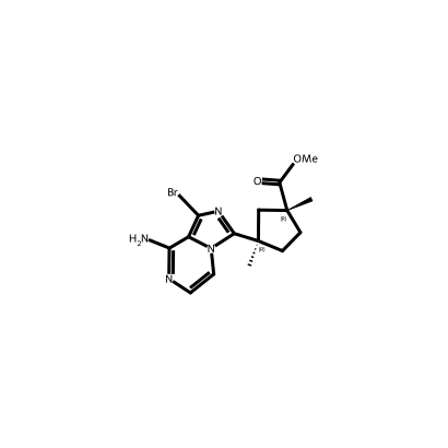 COC(=O)[C@]1(C)CC[C@@](C)(c2nc(Br)c3c(N)nccn23)C1